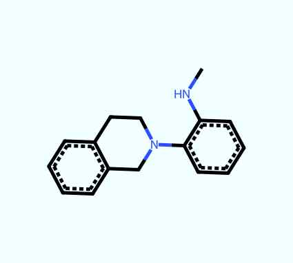 CNc1ccccc1N1CCc2ccccc2C1